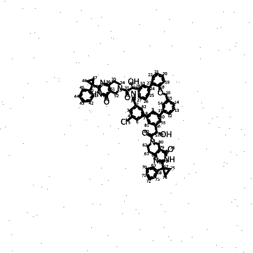 N#Cc1cc(Cl)cc(-c2cc(-c3cccc(COc4ccccc4-c4cccc([C@@H](O)C(=O)N5CCc6nc(C7(c8ccccc8)CC7)[nH]c(=O)c6C5)c4)c3)cc([C@@H](O)C(=O)N3CCc4nc(C5(c6ccccc6)CC5)[nH]c(=O)c4C3)c2)c1